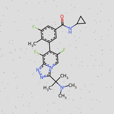 Cc1c(F)cc(C(=O)NC2CC2)cc1-c1c(F)cn2c(C(C)(C)N(C)C)nnc2c1F